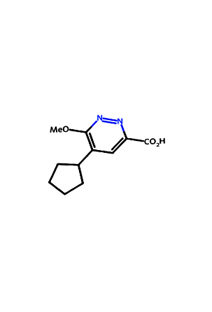 COc1nnc(C(=O)O)cc1C1CCCC1